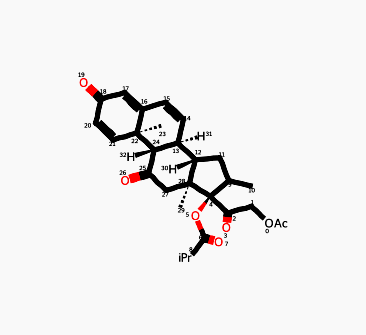 CC(=O)OCC(=O)[C@@]1(OC(=O)C(C)C)C(C)C[C@H]2[C@@H]3C=CC4=CC(=O)C=C[C@]4(C)[C@H]3C(=O)C[C@@]21C